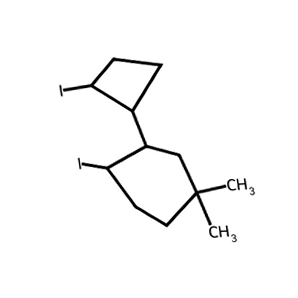 CC1(C)CCC(I)C(C2CCC2I)C1